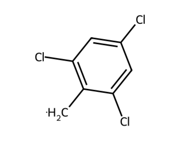 [CH2]c1c(Cl)cc(Cl)cc1Cl